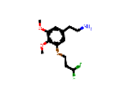 COc1cc(CCN)cc(SCCC(F)F)c1OC